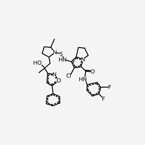 CC1CCC(CC(C)(O)c2cc(-c3ccccc3)on2)N1SNc1c(Cl)c(C(=O)Nc2ccc(F)c(F)c2)n2c1CCC2